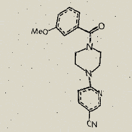 COc1cccc(C(=O)N2CCN(c3ccc(C#N)cn3)CC2)c1